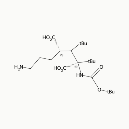 CC(C)(C)OC(=O)N[C@@](C(=O)O)(C([C@H](CCCN)C(=O)O)C(C)(C)C)C(C)(C)C